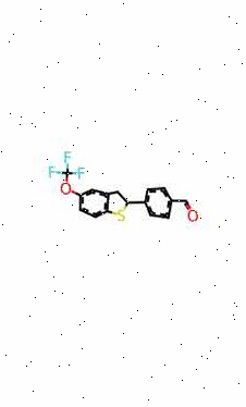 O=Cc1ccc(C2Cc3cc(OC(F)(F)F)ccc3S2)cc1